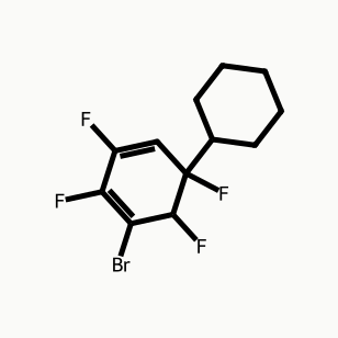 FC1=CC(F)(C2CCCCC2)C(F)C(Br)=C1F